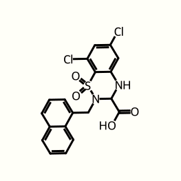 O=C(O)C1Nc2cc(Cl)cc(Cl)c2S(=O)(=O)N1Cc1cccc2ccccc12